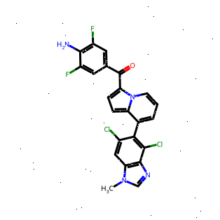 Cn1cnc2c(Cl)c(-c3cccn4c(C(=O)c5cc(F)c(N)c(F)c5)ccc34)c(Cl)cc21